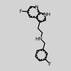 Fc1cccc(CNCCc2c[nH]c3ncc(F)cc23)c1